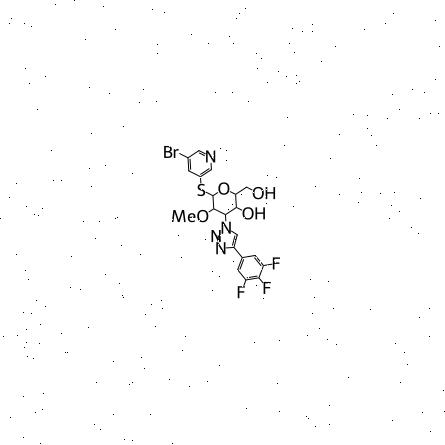 COC1C(Sc2cncc(Br)c2)OC(CO)C(O)C1n1cc(-c2cc(F)c(F)c(F)c2)nn1